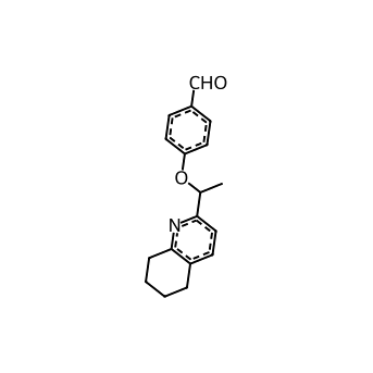 CC(Oc1ccc(C=O)cc1)c1ccc2c(n1)CCCC2